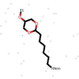 CCCCCCCCCCCCCCCC1OCC(OCC)CO1